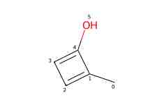 CC1=CC=C1O